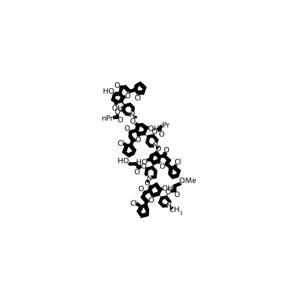 CCCC(=O)O[C@@H]1CN(COc2cc(O)c([C@H]3CCN(Oc4cc(O)c([C@H]5CCN(Oc6cc(O)c([C@H]7CCN(C)C[C@H]7OC(=O)CCOC)c7oc(-c8ccccc8Cl)cc(=O)c67)C[C@H]5OC(=O)CCO)c5oc(-c6ccccc6Cl)cc(=O)c45)C[C@H]3OC(=O)C(C)C)c3oc(-c4ccccc4Cl)cc(=O)c23)CC[C@@H]1c1c(O)cc(O)c2c(=O)cc(-c3ccccc3Cl)oc12